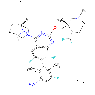 CCN1CC[C@H](C(F)F)[C@](C)(COc2nc(N3C[C@H]4CC[C@@H](C3)N4)c3cc(F)c(-c4c(C#N)c(N)cc(F)c4C(F)(F)F)c(F)c3n2)C1